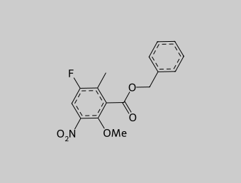 COc1c([N+](=O)[O-])cc(F)c(C)c1C(=O)OCc1ccccc1